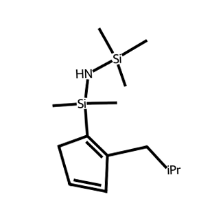 CC(C)CC1=C([Si](C)(C)N[Si](C)(C)C)CC=C1